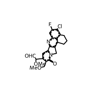 COCc1c(C(C=O)OC)cc2n(c1=O)Cc1c-2nc2cc(F)c(Cl)c3c2c1CCC3